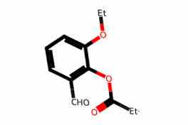 C[CH]C(=O)Oc1c(C=O)cccc1OCC